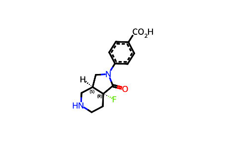 O=C(O)c1ccc(N2C[C@@H]3CNCC[C@]3(F)C2=O)cc1